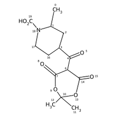 CC1CC(C(=O)C2C(=O)OC(C)(C)OC2=O)CCN1C(=O)O